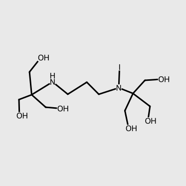 OCC(CO)(CO)NCCCN(I)C(CO)(CO)CO